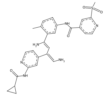 Cc1ccc(NC(=O)c2ccnc(S(C)(=O)=O)c2)cc1/C(N)=C/C(=C\N)c1ccnc(NC(=O)C2CC2)c1